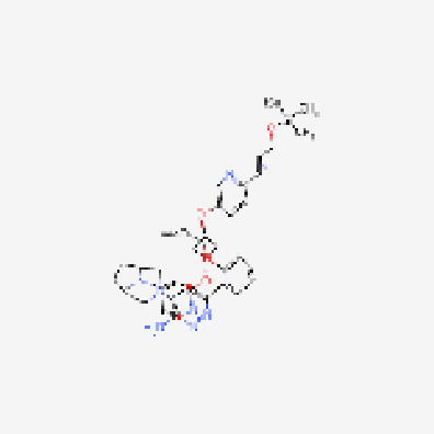 COCOc1ccccc1-c1cc(N2CC3CCC(C2)N3c2ccnc(O[C@H]3C[C@H](Oc4ccc(/C=C/CO[Si](C)(C)C(C)(C)C)nc4)C3)c2)c(N)nn1